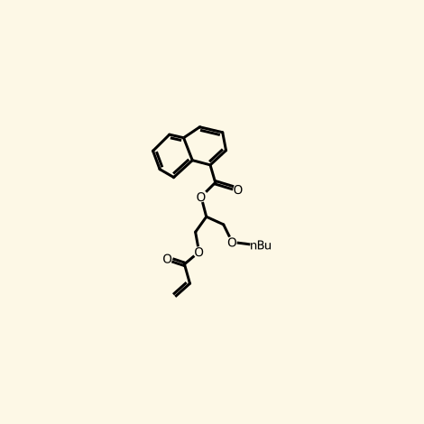 C=CC(=O)OCC(COCCCC)OC(=O)c1cccc2ccccc12